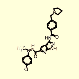 CN(NC(=O)c1cc2c(NC(=O)c3ccc(CN4CCCC4)cc3)n[nH]c2s1)c1ccc(Cl)cc1